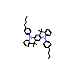 CCCCc1ccc(N2c3ccccc3C(C)(C)c3cc4c(cc32)C(C)(C)c2ccccc2N4c2ccc(CCCC)cc2)cc1